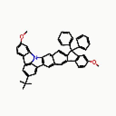 COc1ccc2c(c1)C(c1ccccc1)(c1ccccc1)c1cc3cc4c(cc3cc1-2)c1cc(C(C)(C)C)cc2c3ccc(OC)cc3n4c21